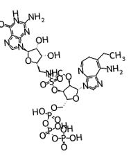 CCC1=C(N)c2ncn([C@@H]3O[C@H](COP(=O)(O)OP(=O)(O)OP(=O)(O)O)[C@@H](OS(=O)(=O)NC[C@H]4O[C@@H](n5cnc6c(=O)[nH]c(N)nc65)[C@H](O)[C@@H]4O)[C@H]3OC)c2N=CC1